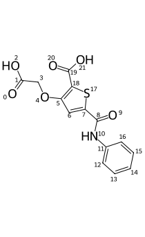 O=C(O)COc1cc(C(=O)Nc2ccccc2)sc1C(=O)O